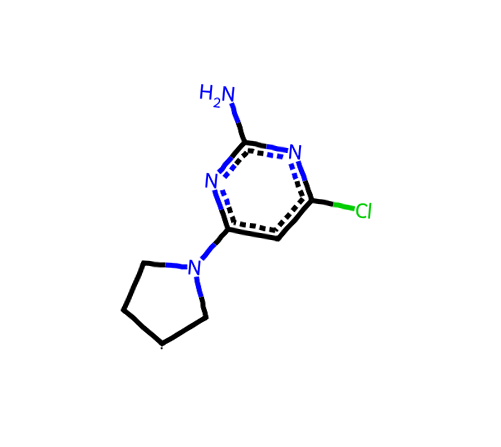 Nc1nc(Cl)cc(N2C[CH]CC2)n1